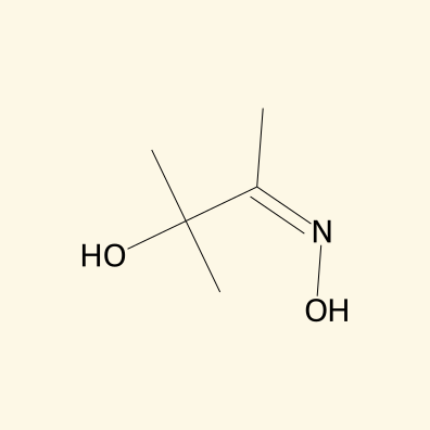 CC(=NO)C(C)(C)O